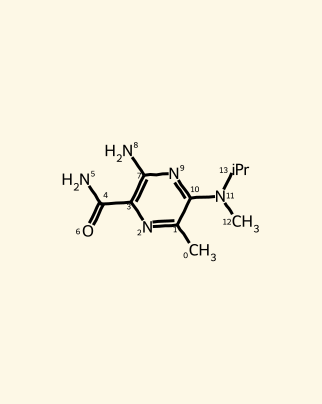 Cc1nc(C(N)=O)c(N)nc1N(C)C(C)C